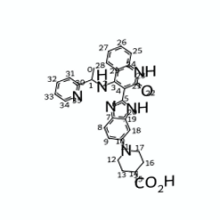 CC(Nc1c(-c2nc3ccc(N4CCC(C(=O)O)CC4)cc3[nH]2)c(=O)[nH]c2ccccc12)c1ccccn1